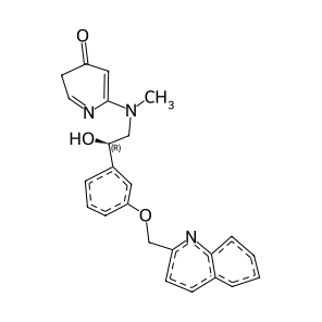 CN(C[C@H](O)c1cccc(OCc2ccc3ccccc3n2)c1)C1=CC(=O)CC=N1